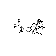 CC(C)C[C@](N)(C(=O)OC(C)C)c1ccc(-c2cnn(C(F)F)c2)cc1